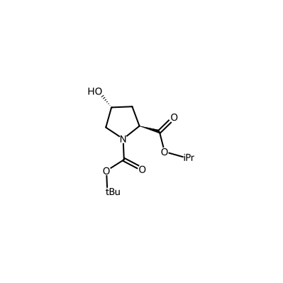 CC(C)OC(=O)[C@@H]1C[C@@H](O)CN1C(=O)OC(C)(C)C